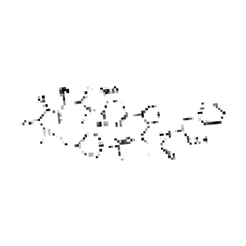 CC[C@H](C)[C@@H]([C@@H](CC(=O)N1CCC[C@H]1[C@H](OC)[C@@H](C)C(=O)N[C@@H](Cc1ccccc1)C(=O)O)OC)N(C)C(=O)[C@@H](NC(=O)[C@H](C(C)C)N(C)CCc1ccc(N)cc1)C(C)C